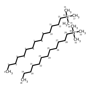 CCCCCCCCCCCCCC[N+](C)(C)C.CCCCCCCCCCCC[N+](C)(C)C